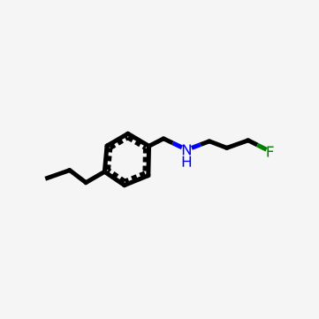 CCCc1ccc(CNCCCF)cc1